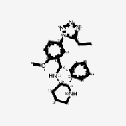 CCc1nnnn1-c1ccc(OC)c(CN[C@H]2CCCN[C@H]2c2ccccc2)c1